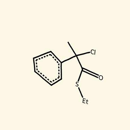 CCSC(=O)C(C)(Cl)c1ccccc1